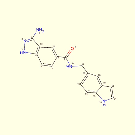 Nc1n[nH]c2ccc(C(=O)NCc3ccc4[nH]ccc4c3)cc12